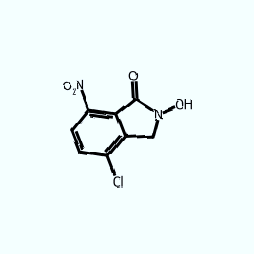 O=C1c2c([N+](=O)[O-])ccc(Cl)c2CN1O